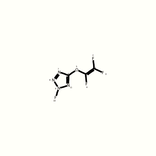 FC(F)=C(F)Oc1nnn(F)n1